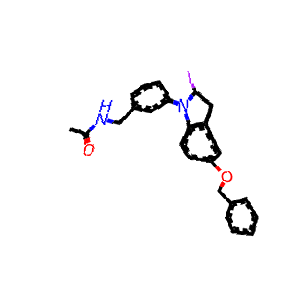 CC(=O)NCc1cccc(N2c3ccc(OCc4ccccc4)cc3CC2I)c1